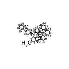 Cc1cc2c3c(c1)N(c1ccc4c(c1)oc1ccccc14)c1cccc4c1B3c1c(cccc1[Si]4(c1ccccc1)c1ccccc1)O2